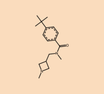 CN1CC(CN(C)C(=O)c2ccc(C(C)(C)C)cc2)C1